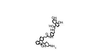 NC1CCC(N(C(=O)O)c2cc(CCC(=O)Nc3ccc(CNC[C@H](O)c4ccc(O)c5[nH]c(=O)ccc45)cc3)ccc2-c2ccccc2)CC1